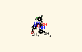 CCc1cccc(CNC[C@H](O)[C@H](Cc2cc(F)cc(F)c2)NC(=O)CN2CCC(CCOC)CC2)c1